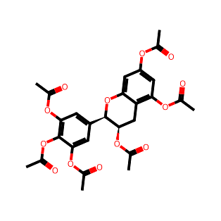 CC(=O)Oc1cc(OC(C)=O)c2c(c1)O[C@H](c1cc(OC(C)=O)c(OC(C)=O)c(OC(C)=O)c1)[C@H](OC(C)=O)C2